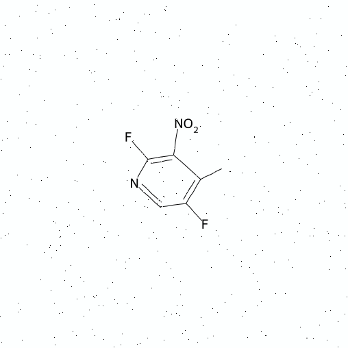 Cc1c(F)cnc(F)c1[N+](=O)[O-]